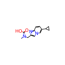 CN(Cc1cn2cc(C3CC3)ccc2n1)C(=O)O